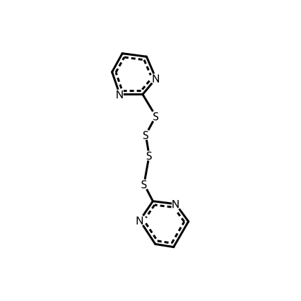 c1cnc(SSSSc2ncccn2)nc1